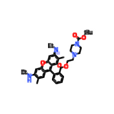 CC/N=c1\cc2oc3cc(NCC)c(C)cc3c(-c3ccccc3C(=O)OCCN3CCN(C(=O)OC(C)(C)C)CC3)c-2cc1C